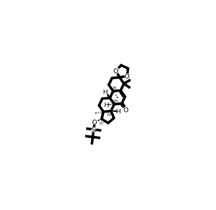 CC1(C)C2=CC(=O)[C@H]3[C@@H]4CC[C@H](O[Si](C)(C)C(C)(C)C)[C@@]4(C)CC[C@@H]3[C@@]2(C)CCC12OCCO2